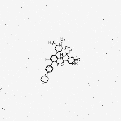 C[C@@H]1CN(c2cc(F)c(-c3ccc(N4CCOCC4)cc3)c(F)c2NC(=O)c2c[nH]c(=O)cc2C(F)(F)F)C[C@H](C)N1C